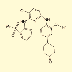 CC(C)Oc1cc(C2CCC(=O)CC2)ccc1Nc1ncc(Cl)c(Nc2ccccc2S(=O)(=O)C(C)C)n1